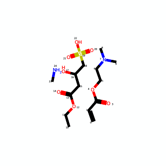 C=CC(=O)OCCN(C)C.CCOC(=O)CC(O)CS(=O)(=O)O.CN